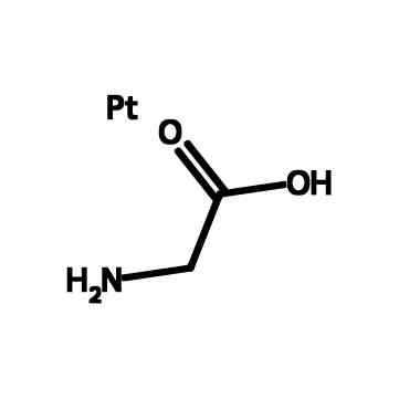 NCC(=O)O.[Pt]